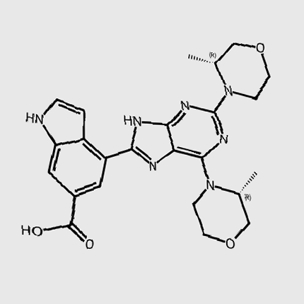 C[C@@H]1COCCN1c1nc(N2CCOC[C@H]2C)c2nc(-c3cc(C(=O)O)cc4[nH]ccc34)[nH]c2n1